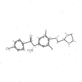 Cc1cc([C@H](N)C(=O)c2ccc(Cl)cc2)cc(C)c1OCC1OCCO1